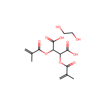 C=C(C)C(=O)OC(C(=O)O)C(OC(=O)C(=C)C)C(=O)O.OCCO